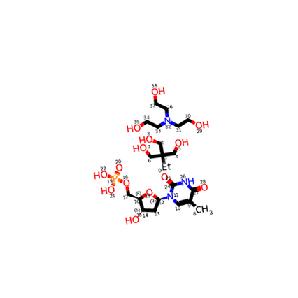 CCC(CO)(CO)CO.Cc1cn([C@H]2C[C@H](O)[C@@H](COP(=O)(O)O)O2)c(=O)[nH]c1=O.OCCN(CCO)CCO